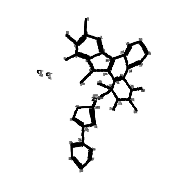 Cc1cc2c(c(C)c1C)C(C)c1c3c(c4ccccc4c1-2)C(C)C(C)C(C)[C]3(C)[Zr+2][C]1=CC(c2ccccc2)=CC1.[Cl-].[Cl-]